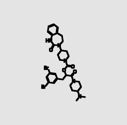 CN(C)C1CCN(C(=O)C(Cc2cc(Br)cc(Br)c2)OC(=O)N2CCC(N3CCc4ccccc4NC3=O)CC2)CC1